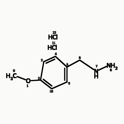 COc1ccc(CNN)cc1.Cl.Cl